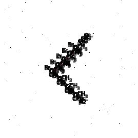 Cc1cc(Br)cc(C)c1[N+]#N.Cc1cc(Br)cc(C)c1[N+]#N.Cc1cc(Br)cc(C)c1[N+]#N.Cc1cc(Br)cc(C)c1[N+]#N.Cc1cc(Br)cc(C)c1[N+]#N.Cc1cc(Br)cc(C)c1[N+]#N.Cc1cc(Br)cc(C)c1[N+]#N.Cc1cc(Br)cc(C)c1[N+]#N.[O-]B([O-])F.[O-]B([O-])F.[O-]B([O-])F.[O-]B([O-])F